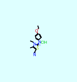 CCOc1ccc(/N=c2/sc(C#N)c(C)n2CC)cc1.Cl